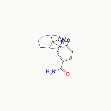 COC1(c2cc(C(N)=O)ccc2C)C2CCCC1CN(C)C2